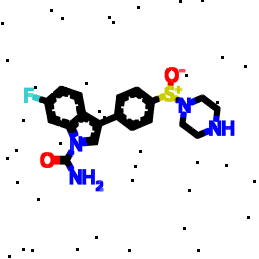 NC(=O)n1cc(-c2ccc([S+]([O-])N3CCNCC3)cc2)c2ccc(F)cc21